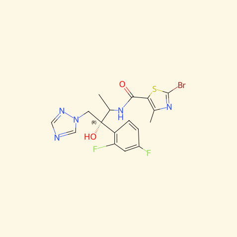 Cc1nc(Br)sc1C(=O)NC(C)[C@](O)(Cn1cncn1)c1ccc(F)cc1F